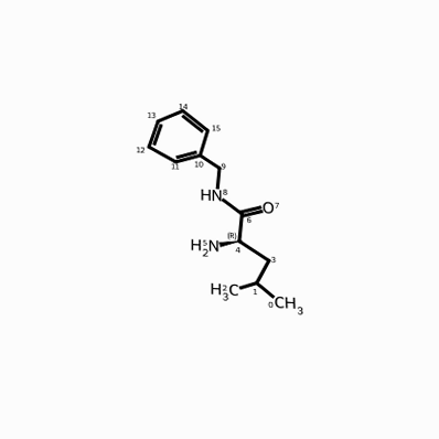 CC(C)C[C@@H](N)C(=O)NCc1ccccc1